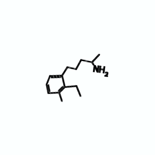 CCc1c(C)cccc1CCCC(C)N